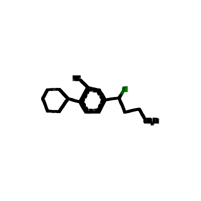 CCOC(=O)CCC(Cl)c1ccc(C2CCCCC2)c(C#N)c1